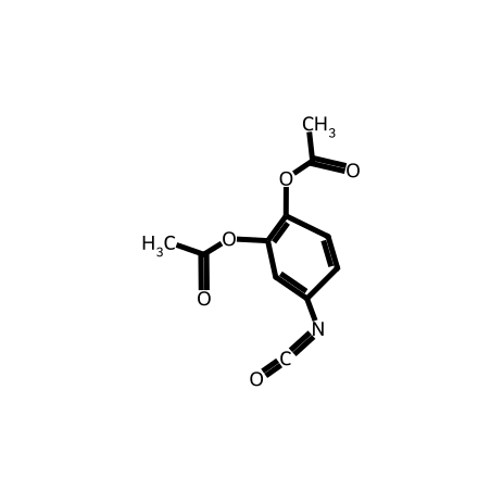 CC(=O)Oc1ccc(N=C=O)cc1OC(C)=O